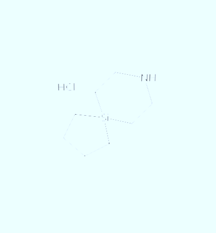 C1CC[Si]2(C1)CCNCC2.Cl